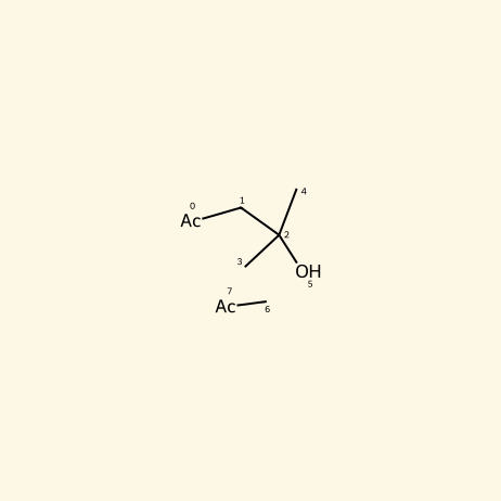 CC(=O)CC(C)(C)O.CC(C)=O